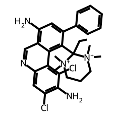 CCC1(c2c(-c3ccccc3)cc(N)c3cnc4cc(Cl)c(N)c(Cl)c4c23)[N+](C)(C)CCC[N+]1(C)C